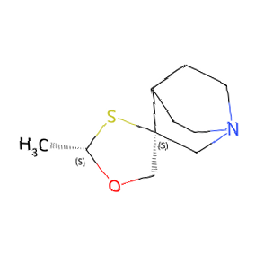 C[C@H]1OC[C@]2(CN3CCC2CC3)S1